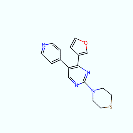 c1cc(-c2cnc(N3CCSCC3)nc2-c2ccoc2)ccn1